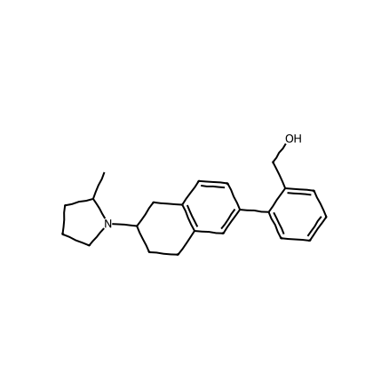 CC1CCCN1C1CCc2cc(-c3ccccc3CO)ccc2C1